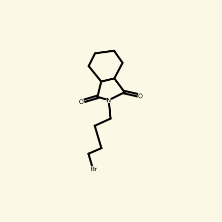 O=C1C2CCCCC2C(=O)N1CCCCBr